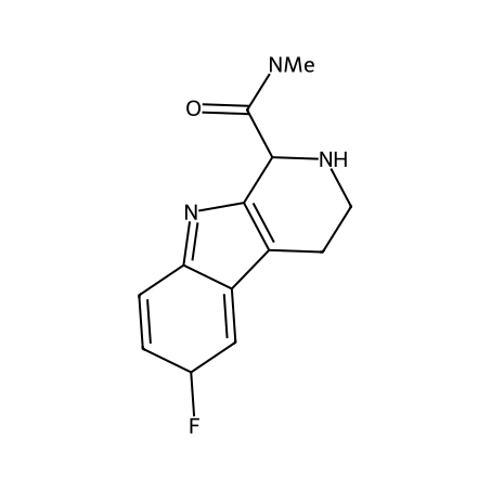 CNC(=O)C1NCCC2=C1N=C1C=CC(F)C=C12